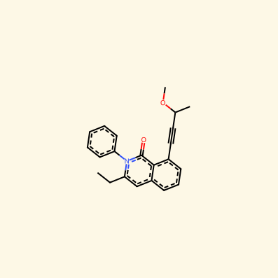 CCc1cc2cccc(C#CC(C)OC)c2c(=O)n1-c1ccccc1